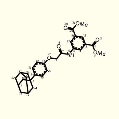 COC(=O)c1cc(NC(=O)COc2ccc(C34CC5CC(CC(C5)C3)C4)cc2)cc(C(=O)OC)c1